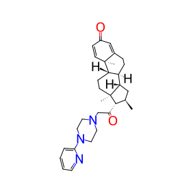 C[C@@H]1C[C@H]2[C@@H]3CCC4=CC(=O)C=C[C@]4(C)[C@H]3CC[C@]2(C)[C@H]1C(=O)CN1CCN(c2ccccn2)CC1